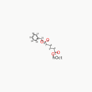 CCCCCCCCOC(=O)CCCCC(=O)OCc1ccccc1